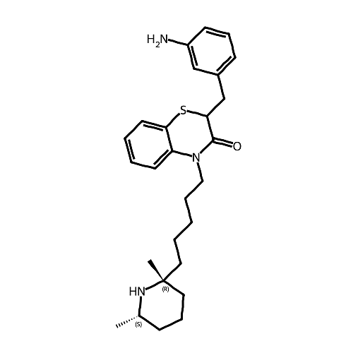 C[C@H]1CCC[C@@](C)(CCCCCN2C(=O)C(Cc3cccc(N)c3)Sc3ccccc32)N1